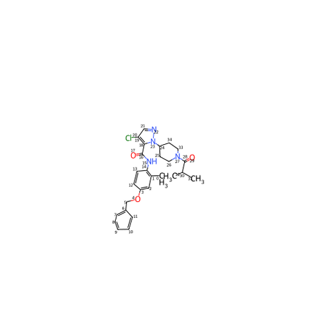 Cc1cc(OCc2ccccc2)ccc1NC(=O)c1c(Cl)cnn1C1CCN(C(=O)C(C)C)CC1